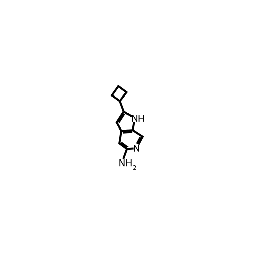 Nc1cc2cc(C3CCC3)[nH]c2cn1